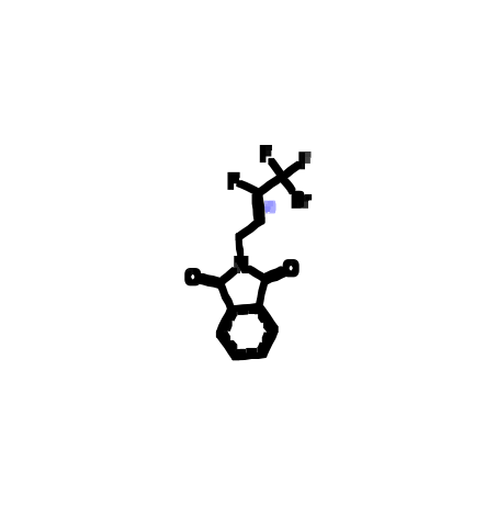 O=C1c2ccccc2C(=O)N1C/C=C(\F)C(F)(F)Br